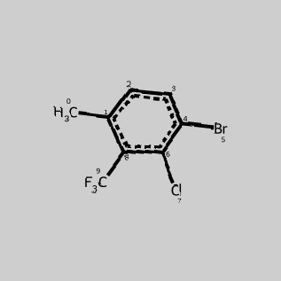 Cc1ccc(Br)c(Cl)c1C(F)(F)F